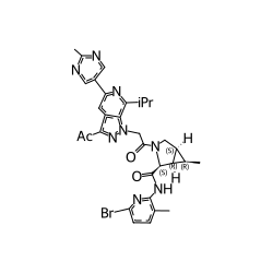 CC(=O)c1nn(CC(=O)N2C[C@H]3[C@@H](C)[C@H]3[C@H]2C(=O)Nc2nc(Br)ccc2C)c2c(C(C)C)nc(-c3cnc(C)nc3)cc12